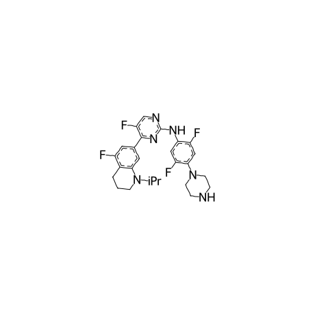 CC(C)N1CCCc2c(F)cc(-c3nc(Nc4cc(F)c(N5CCNCC5)cc4F)ncc3F)cc21